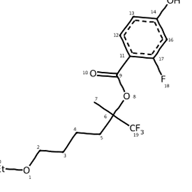 CCOCCCCC(C)(OC(=O)c1ccc(O)cc1F)C(F)(F)F